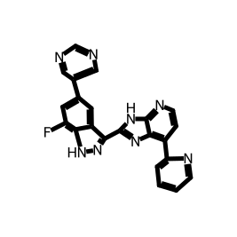 Fc1cc(-c2cncnc2)cc2c(-c3nc4c(-c5ccccn5)ccnc4[nH]3)n[nH]c12